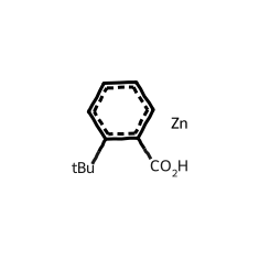 CC(C)(C)c1ccccc1C(=O)O.[Zn]